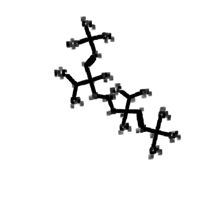 CC(C)C(C)(/C=N/C(C)(C)C)ONOC(C)(/C=N/C(C)(C)C)C(C)C